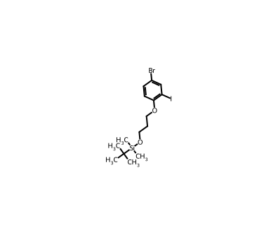 CC(C)(C)[Si](C)(C)OCCCOc1ccc(Br)cc1I